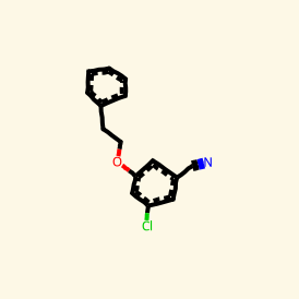 N#Cc1cc(Cl)cc(OCCc2ccccc2)c1